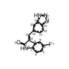 O=C1Nc2ccc(F)cc2/C1=C\c1ccc2nn[nH]c2c1